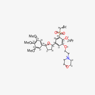 CCCOc1c(OCCN2CCOCC2)cc(C2CCC(c3cc(OC)c(OC)c(OC)c3)O2)cc1S(=O)(=O)CC(C)=O